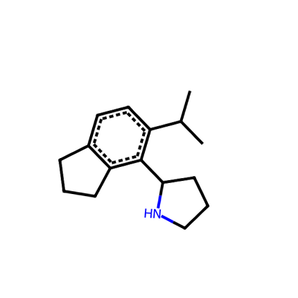 CC(C)c1ccc2c(c1C1CCCN1)CCC2